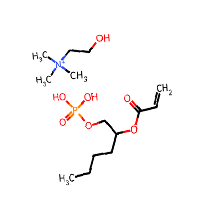 C=CC(=O)OC(CCCC)COP(=O)(O)O.C[N+](C)(C)CCO